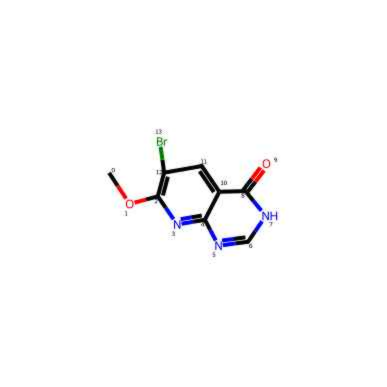 COc1nc2nc[nH]c(=O)c2cc1Br